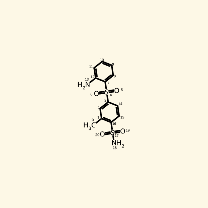 Cc1cc(S(=O)(=O)c2ccccc2N)ccc1S(N)(=O)=O